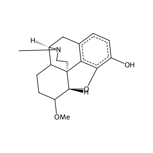 COC1CCC2[C@H]3Cc4ccc(O)c5c4[C@@]2(CCN3C)[C@@H]1O5